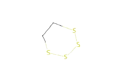 C1CSSSS1